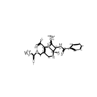 CC(=O)OCC1=C(C(=O)[O-])N2C(=O)C(NC(=O)c3ccccc3)[C@@H]2SC1.[Na+]